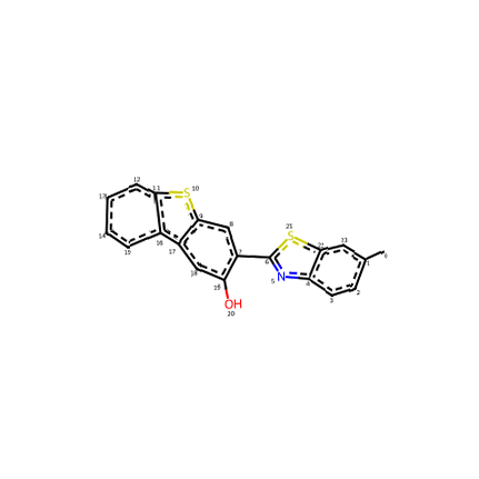 Cc1ccc2nc(-c3cc4sc5ccccc5c4cc3O)sc2c1